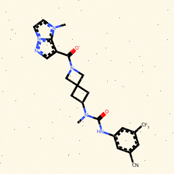 CN(C(=O)Nc1cc(C#N)cc(C(F)(F)F)c1)C1CC2(C1)CN(C(=O)c1cnn3ccn(C)c13)C2